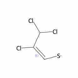 [S]/C=C(/Cl)C(Cl)Cl